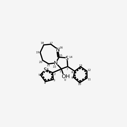 OC1(c2cccs2)C(c2ccccc2)SC2=NCCCCCN21